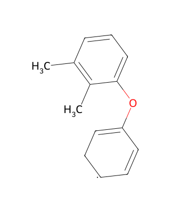 Cc1cccc(OC2=CC[CH]C=C2)c1C